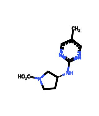 Cc1cnc(N[C@@H]2CCN(C(=O)O)C2)nc1